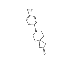 O=C1CC2(CCN(c3ccc(C(=O)O)cc3)CC2)C1